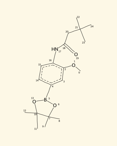 COc1cc(B2OC(C)(C)C(C)(C)O2)ccc1NC(=O)CC(C)(C)C